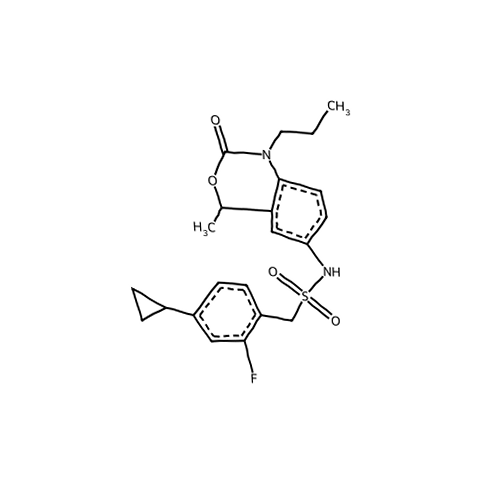 CCCN1C(=O)OC(C)c2cc(NS(=O)(=O)Cc3ccc(C4CC4)cc3F)ccc21